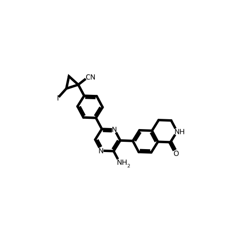 N#CC1(c2ccc(-c3cnc(N)c(-c4ccc5c(c4)CCNC5=O)n3)cc2)CC1I